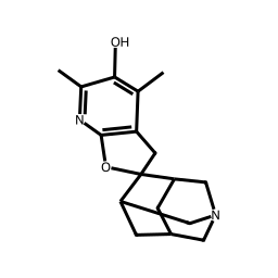 Cc1nc2c(c(C)c1O)CC1(O2)C2CC3CC1CN(C3)C2